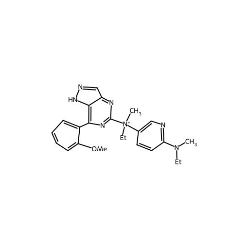 CCN(C)c1ccc([N+](C)(CC)c2nc(-c3ccccc3OC)c3[nH]ncc3n2)cn1